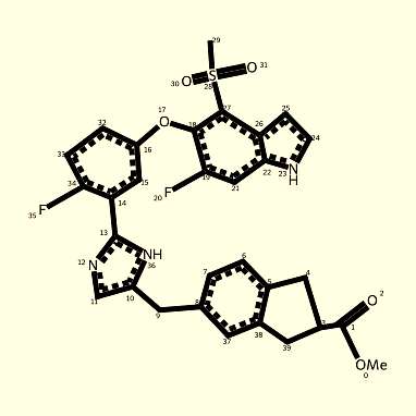 COC(=O)C1Cc2ccc(Cc3cnc(-c4cc(Oc5c(F)cc6[nH]ccc6c5S(C)(=O)=O)ccc4F)[nH]3)cc2C1